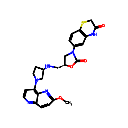 COc1ccc2nccc(N3CC[C@@H](NC[C@@H]4CN(c5ccc6c(c5)NC(=O)CS6)C(=O)O4)C3)c2n1